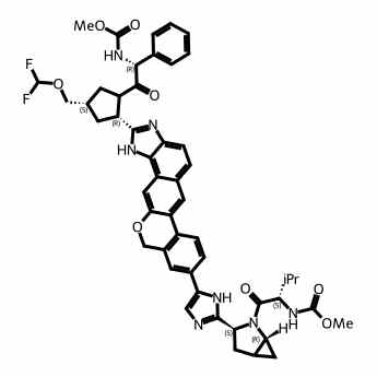 COC(=O)N[C@H](C(=O)N1[C@@H]2CC2C[C@H]1c1ncc(-c2ccc3c(c2)COc2cc4c(ccc5nc([C@@H]6C[C@H](COC(F)F)CC6C(=O)[C@H](NC(=O)OC)c6ccccc6)[nH]c54)cc2-3)[nH]1)C(C)C